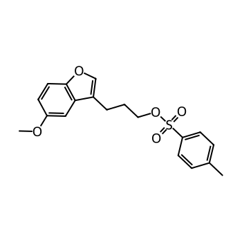 COc1ccc2occ(CCCOS(=O)(=O)c3ccc(C)cc3)c2c1